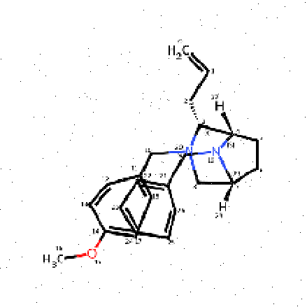 C=CC[C@@H]1[C@@H]2CC[C@H](CN1Cc1ccc(OC)cc1)N2Cc1ccccc1